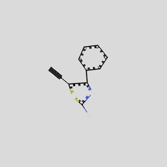 C#Cc1sc(N)nc1-c1ccccc1